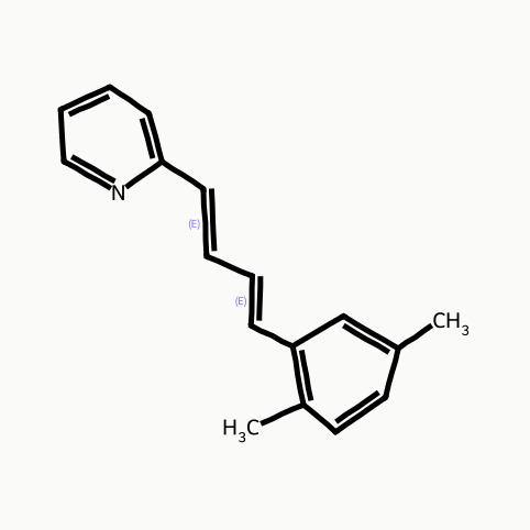 Cc1ccc(C)c(/C=C/C=C/c2ccccn2)c1